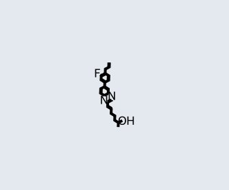 C=CCc1ccc(-c2ccc3nc(/C=C/CCCC(C)O)cnc3c2)cc1F